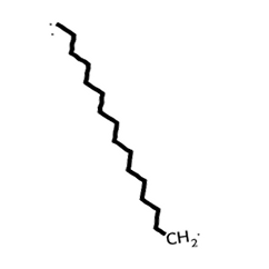 [C]CCCCCCCCCCCCCC[CH2]